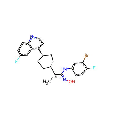 C[C@@H](/C(=N/O)Nc1ccc(F)c(Br)c1)[C@H]1CC[C@H](c2ccnc3ccc(F)cc32)CC1